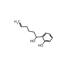 C=CCCCC(O)c1ccccc1O